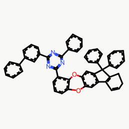 C1=CC2=C(CC1)C(c1ccccc1)(c1ccccc1)c1cc3c(cc12)Oc1cccc(-c2nc(-c4ccccc4)nc(-c4cccc(-c5ccccc5)c4)n2)c1O3